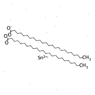 CCCCCCCCCCCCCCCCCCCCCCCC(=O)[O-].CCCCCCCCCCCCCCCCCCCCCCCC(=O)[O-].[Sn+2]